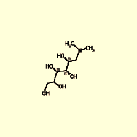 CN(C)C[C@H](O)[C@@H](O)[C@H](O)C(O)CO